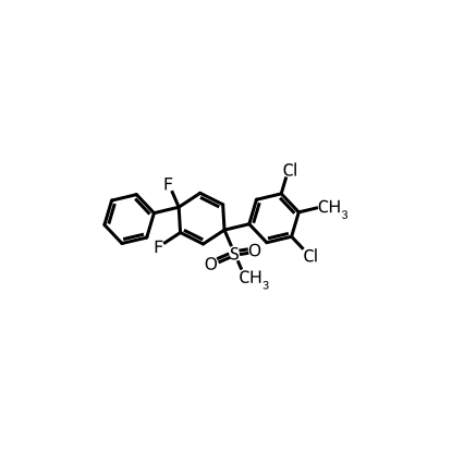 Cc1c(Cl)cc(C2(S(C)(=O)=O)C=CC(F)(c3ccccc3)C(F)=C2)cc1Cl